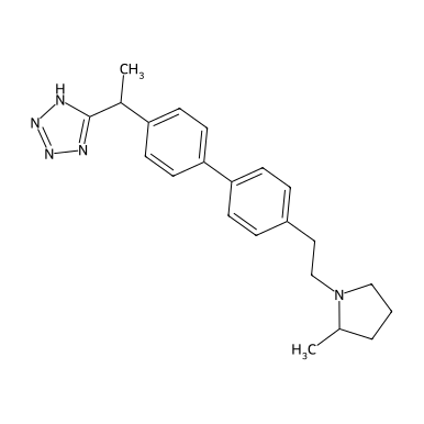 CC(c1ccc(-c2ccc(CCN3CCCC3C)cc2)cc1)c1nnn[nH]1